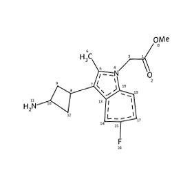 COC(=O)Cn1c(C)c(C2CC(N)C2)c2cc(F)ccc21